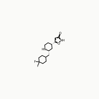 O=c1cc([C@H]2CCN[C@@H](CC3CCC(F)(F)CC3)C2)o[nH]1